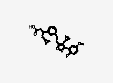 COc1ccc(F)c(-c2noc(CCc3cccc(C(CC(=O)O)SC4CC4)c3)c2C2CC2)c1